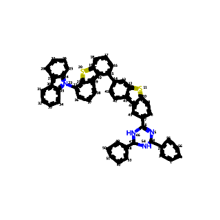 c1ccc(C2N=C(c3ccc4sc5cc(-c6cccc7sc8c(-n9c%10ccccc%10c%10ccccc%109)cccc8c67)ccc5c4c3)NC(c3ccccc3)N2)cc1